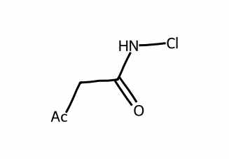 CC(=O)CC(=O)NCl